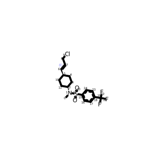 CN([C@H]1CC[C@H](/C=C/CCl)CC1)S(=O)(=O)c1ccc(C(F)(F)F)cc1